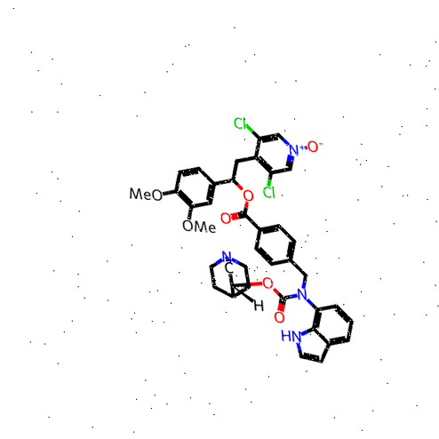 COc1ccc(C(Cc2c(Cl)c[n+]([O-])cc2Cl)OC(=O)c2ccc(CN(C(=O)O[C@H]3CN4CCC3CC4)c3cccc4cc[nH]c34)cc2)cc1OC